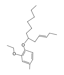 CCC=CCC(CCCCCC)Oc1ccc(C)cc1OCC